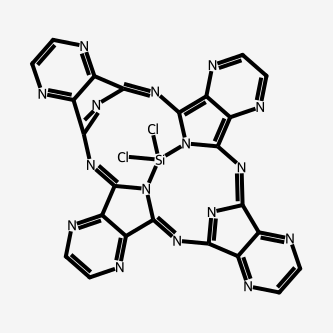 Cl[Si]1(Cl)n2c3c4nccnc4c2/N=C2N=C(/N=c4/c5nccnc5/c(n41)=N/C1=NC(=N\3)/c3nccnc31)c1nccnc1\2